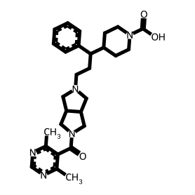 Cc1ncnc(C)c1C(=O)N1CC2CN(CCC(c3ccccc3)C3CCN(C(=O)O)CC3)CC2C1